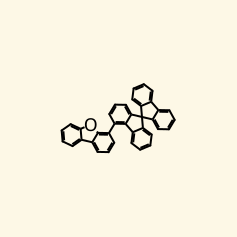 c1ccc2c(c1)-c1ccccc1C21c2ccccc2-c2c(-c3cccc4c3oc3ccccc34)cccc21